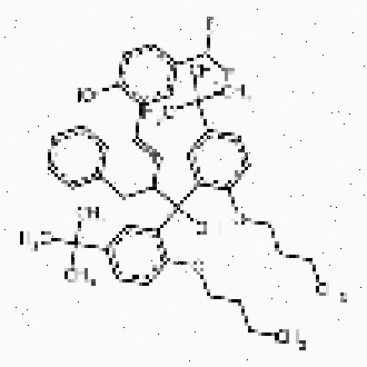 CCCCOc1ccc(C(C)(C)C)cc1C(O)(c1cc(C(C)(C)C)ccc1OCCCC)C(Cc1ccccc1)N=Cc1cc(C(F)F)ccc1O